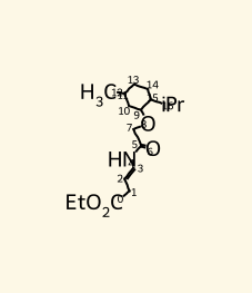 CCOC(=O)CC=CNC(=O)COC1CC(C)CCC1C(C)C